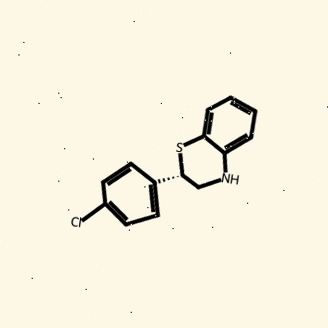 Clc1ccc([C@H]2CNc3ccccc3S2)cc1